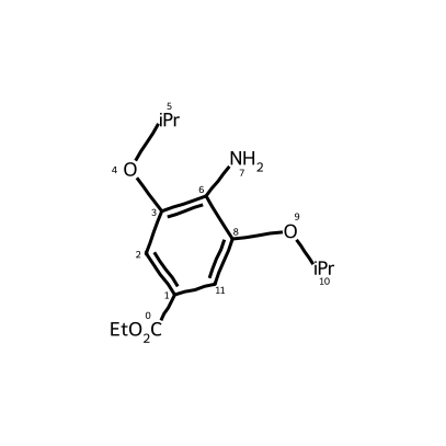 CCOC(=O)c1cc(OC(C)C)c(N)c(OC(C)C)c1